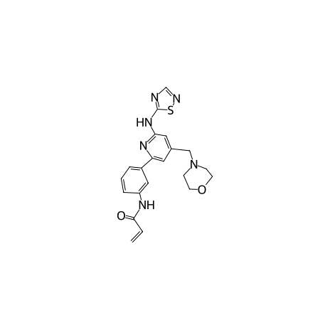 C=CC(=O)Nc1cccc(-c2cc(CN3CCOCC3)cc(Nc3ncns3)n2)c1